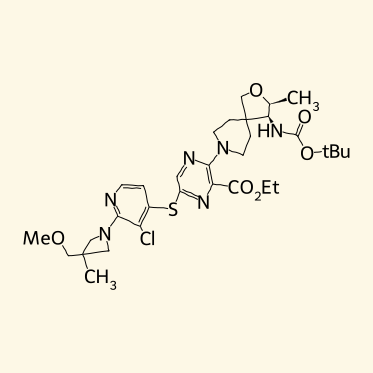 CCOC(=O)c1nc(Sc2ccnc(N3CC(C)(COC)C3)c2Cl)cnc1N1CCC2(CC1)CO[C@@H](C)[C@H]2NC(=O)OC(C)(C)C